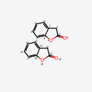 O=C1Cc2ccccc2O1.O=C1Cc2ccccc2O1